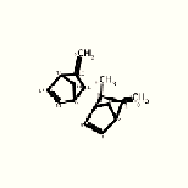 C=C1C2C=CC(C2)C1C.C=C1CC2C=CC1C2